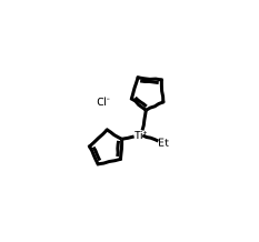 C[CH2][Ti+]([C]1=CC=CC1)[C]1=CC=CC1.[Cl-]